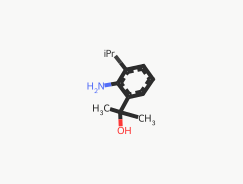 CC(C)c1cccc(C(C)(C)O)c1N